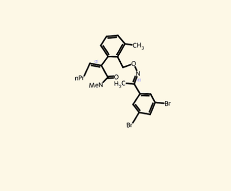 CCC/C=C(\C(=O)NC)c1cccc(C)c1CO/N=C(\C)c1cc(Br)cc(Br)c1